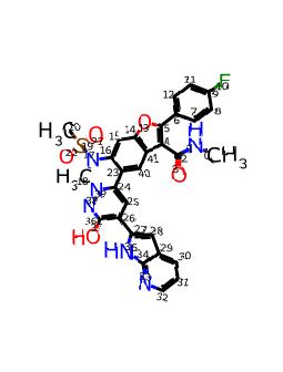 CNC(=O)c1c(-c2ccc(F)cc2)oc2cc(N(C)S(C)(=O)=O)c(-c3cc(-c4cc5cccnc5[nH]4)c(O)nn3)cc12